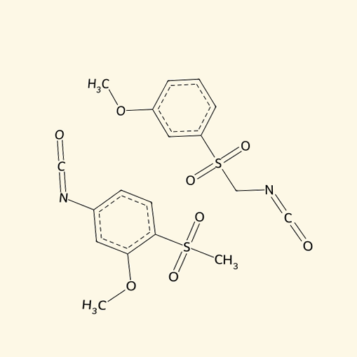 COc1cc(N=C=O)ccc1S(C)(=O)=O.COc1cccc(S(=O)(=O)CN=C=O)c1